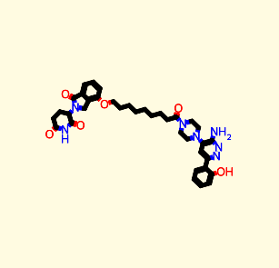 Nc1nnc(-c2ccccc2O)cc1N1CCN(C(=O)CCCCCCCCOc2cccc3c2CN(C2CCC(=O)NC2=O)C3=O)CC1